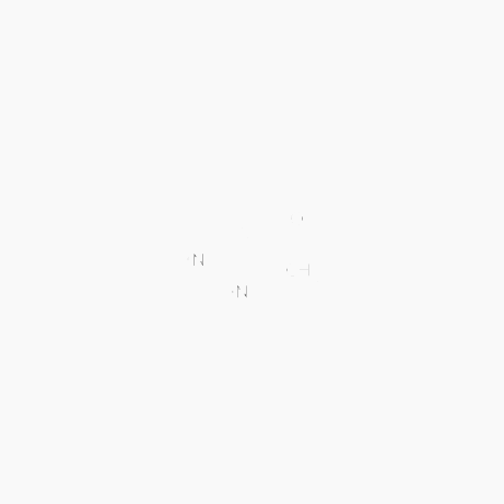 Cc1ncncc1C=O